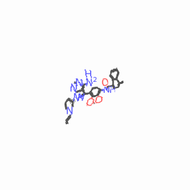 CC=CN1CCC[C@@H](n2nc(-c3ccc(NC(=O)c4ccc(C)c5ccccc45)c4c3OCO4)c3c(N)ncnc32)C1